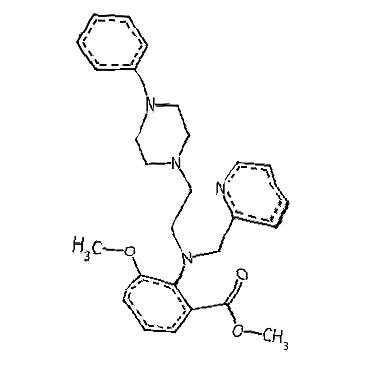 COC(=O)c1cccc(OC)c1N(CCN1CCN(c2ccccc2)CC1)Cc1ccccn1